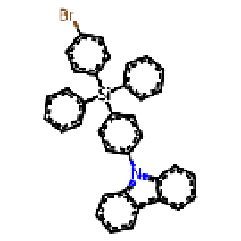 Brc1ccc([Si](c2ccccc2)(c2ccccc2)c2ccc(-n3c4ccccc4c4ccccc43)cc2)cc1